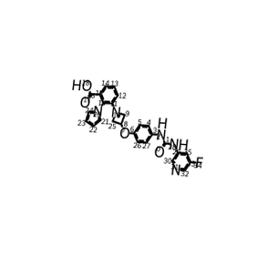 O=C(Nc1ccc(OC2CN(c3cccc(C(=O)O)c3-n3cccc3)C2)cc1)Nc1cncc(F)c1